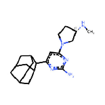 CN[C@H]1CCN(c2cc(C3C4CC5CC(C4)CC3C5)nc(N)n2)C1